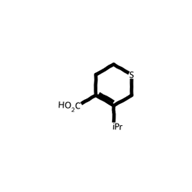 CC(C)C1=C(C(=O)O)CCSC1